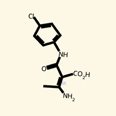 C/C(N)=C(/C(=O)O)C(=O)Nc1ccc(Cl)cc1